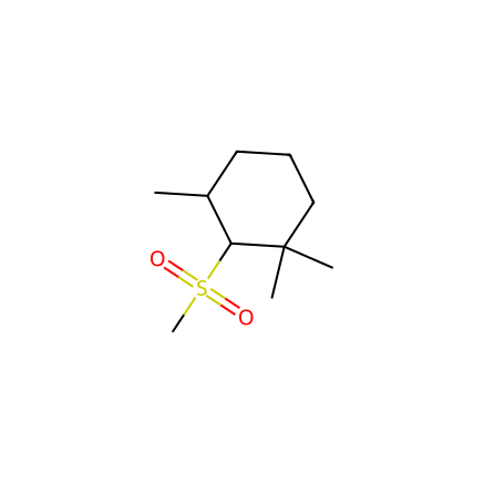 CC1CCCC(C)(C)C1S(C)(=O)=O